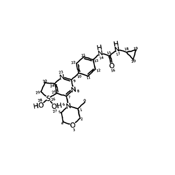 CC1COCCN1c1nc(-c2ccc(NC(=O)NC3CC3)cc2)nc2c1S(O)(O)CC2